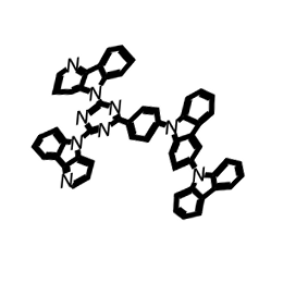 c1ccc2c(c1)c1ccccc1n2-c1ccc2c(c1)c1ccccc1n2-c1ccc(-c2nc(-n3c4ccccc4c4ncccc43)nc(-n3c4ccccc4c4ncccc43)n2)cc1